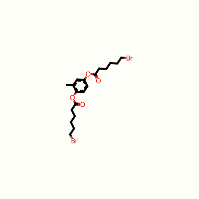 Cc1cc(OC(=O)CCCCCBr)ccc1OC(=O)CCCCCBr